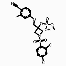 COP(=O)(O)OC1(COc2ccc(C#N)c(F)c2)CN(S(=O)(=O)c2ccc(Cl)cc2Cl)C1